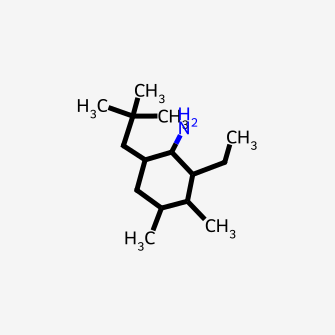 CCC1C(C)C(C)CC(CC(C)(C)C)C1N